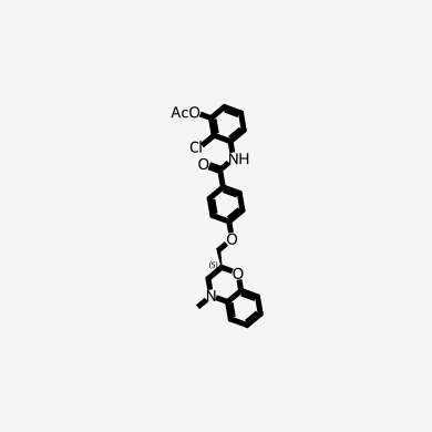 CC(=O)Oc1cccc(NC(=O)c2ccc(OC[C@@H]3CN(C)c4ccccc4O3)cc2)c1Cl